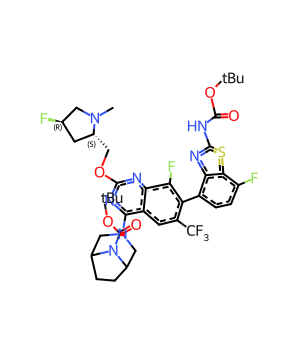 CN1C[C@H](F)C[C@H]1COc1nc(N2CC3CCC(C2)N3C(=O)OC(C)(C)C)c2cc(C(F)(F)F)c(-c3ccc(F)c4sc(NC(=O)OC(C)(C)C)nc34)c(F)c2n1